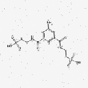 Nc1cc(C(=O)NCCS(=O)(=O)O)nc(C(=O)NCCS(=O)(=O)O)c1